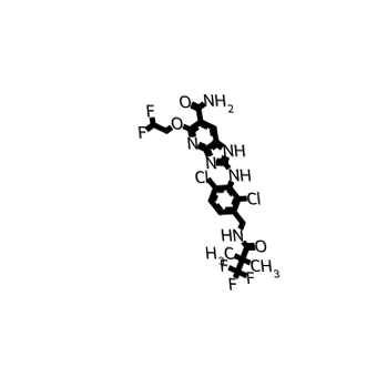 CC(C)(C(=O)NCc1ccc(Cl)c(Nc2nc3nc(OCC(F)F)c(C(N)=O)cc3[nH]2)c1Cl)C(F)(F)F